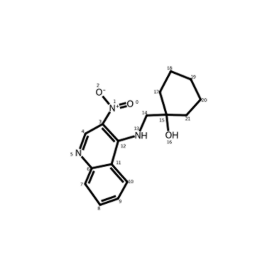 O=[N+]([O-])c1cnc2ccccc2c1NCC1(O)CCCCC1